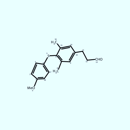 COc1ccc(Sc2c(C)cc(CCC=O)cc2C)cc1